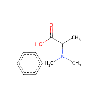 CC(C(=O)O)N(C)C.c1ccccc1